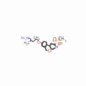 CC(CN)CC(C)COc1ccc2c(c1)COc1cnc(S(C)(=O)=O)cc1-2